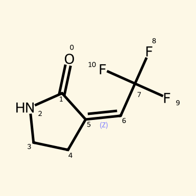 O=C1NCC/C1=C/C(F)(F)F